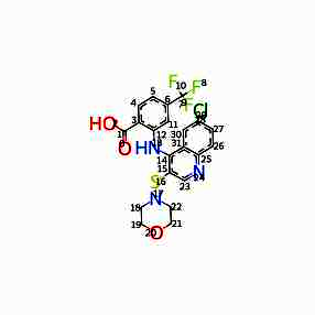 O=C(O)c1ccc(C(F)(F)F)cc1Nc1c(SN2CCOCC2)cnc2ccc(Cl)cc12